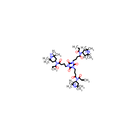 C=CC(=O)N(C(=O)CCCn1c(=O)n(CCCC(=O)N(C(=O)C=C)C2CC(C)(C)NC(C)(C)C2)c(=O)n(CCCC(=O)N(C(=O)C=C)C2CC(C)(C)NC(C)(C)C2)c1=O)C1CC(C)(C)NC(C)(C)C1